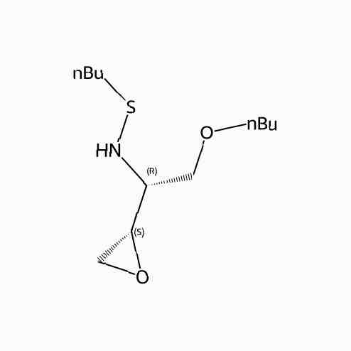 CCCCOC[C@@H](NSCCCC)[C@H]1CO1